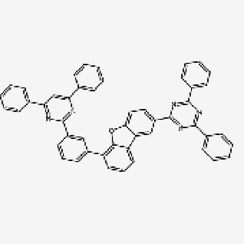 c1ccc(-c2cc(-c3ccccc3)nc(-c3cccc(-c4cccc5c4oc4ccc(-c6nc(-c7ccccc7)nc(-c7ccccc7)n6)cc45)c3)n2)cc1